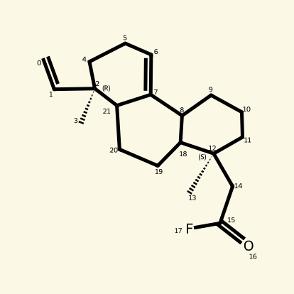 C=C[C@@]1(C)CCC=C2C3CCC[C@@](C)(CC(=O)F)C3CCC21